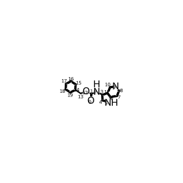 O=C(Nc1c[nH]c2ccncc12)OCc1ccccc1